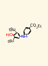 CCOC(=O)c1ccc(Nc2cc(C(C)(C)C)c(O)c(C(C)(C)C)c2)cc1